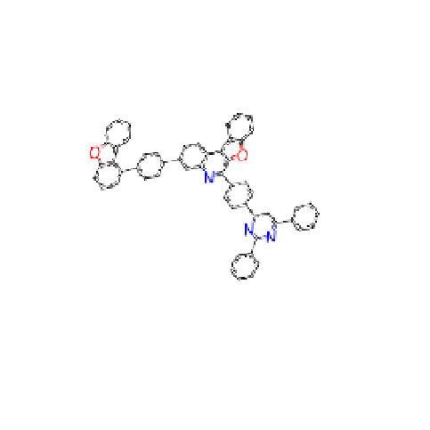 c1ccc(-c2cc(-c3ccc(-c4nc5cc(-c6ccc(-c7cccc8oc9ccccc9c78)cc6)ccc5c5c4oc4ccccc45)cc3)nc(-c3ccccc3)n2)cc1